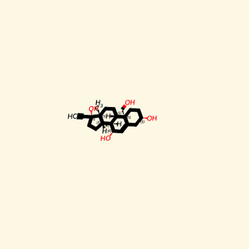 C#C[C@]1(O)CC[C@H]2[C@@H]3[C@@H](O)C=C4C[C@@H](O)CC[C@]4(CO)[C@H]3CC[C@@]21C